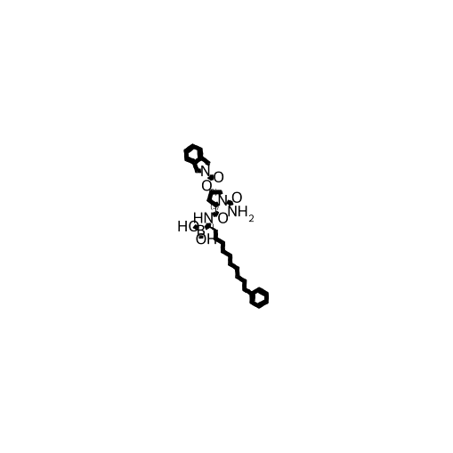 NC(=O)N1C[C@H](OC(=O)N2Cc3ccccc3C2)C[C@H]1C(=O)N[C@@H](CCCCCCCCCCc1ccccc1)B(O)O